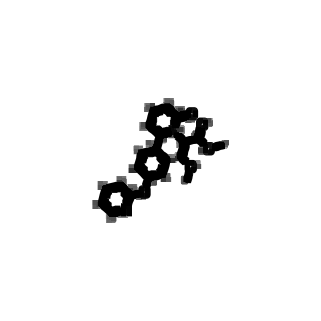 COC=C(C(=O)OC)n1c(-c2ccc(Oc3ccccn3)cc2)cccc1=O